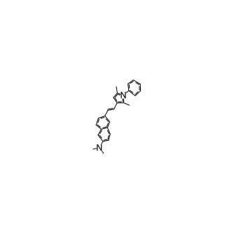 Cc1cc(C=Cc2ccc3cc(N(C)C)ccc3c2)c(C)n1-c1ccccc1